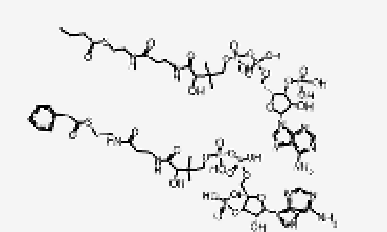 CC(C)(COP(=O)(O)OP(=O)(O)OC[C@H]1O[C@@H](n2cnc3c(N)ncnc32)[C@H](O)[C@@H]1OP(=O)(O)O)C(O)C(=O)NCCC(=O)NCCSC(=O)Cc1ccccc1.CCCC(=O)SCCNC(=O)CCNC(=O)C(O)C(C)(C)COP(=O)(O)OP(=O)(O)OC[C@H]1O[C@@H](n2cnc3c(N)ncnc32)[C@H](O)[C@@H]1OP(=O)(O)O